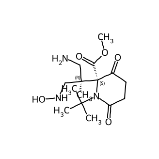 COC(=O)[C@]1([C@](C)(CN)CNO)C(=O)CCC(=O)N1C(C)(C)C